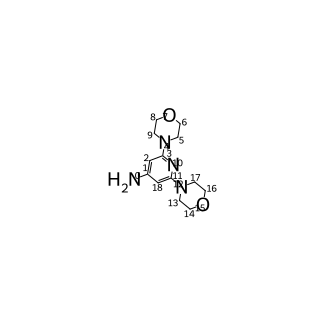 Nc1cc(N2CCOCC2)nc(N2CCOCC2)c1